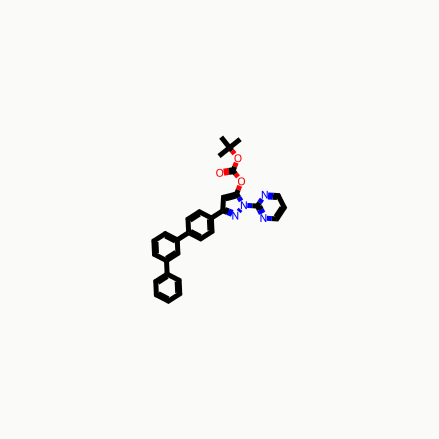 CC(C)(C)OC(=O)Oc1cc(-c2ccc(-c3cccc(-c4ccccc4)c3)cc2)nn1-c1ncccn1